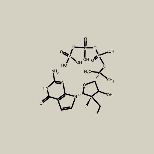 CC(C)(OP(=O)(O)OP(=O)(O)OP(=O)(O)O)[C@H]1O[C@@H](n2ccc3c(=O)[nH]c(N)nc32)[C@@](F)(CF)C1O